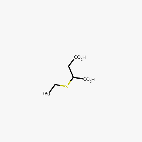 CC(C)(C)CSC(CC(=O)O)C(=O)O